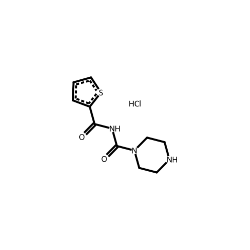 Cl.O=C(NC(=O)N1CCNCC1)c1cccs1